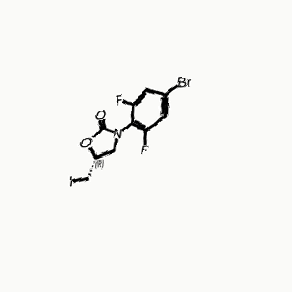 O=C1O[C@@H](CI)CN1c1c(F)cc(Br)cc1F